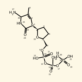 CC1=CN([C@H]2CC[C@@H](COP(=O)(O)OP(=O)(O)OP(=O)(O)O)O2)C(=O)NC1N